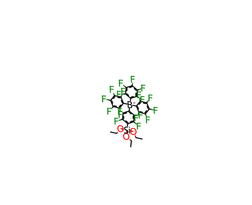 CCO[Si](OCC)(OCC)c1c(F)c(F)c([B-](c2c(F)c(F)c(F)c(F)c2F)(c2c(F)c(F)c(F)c(F)c2F)c2c(F)c(F)c(F)c(F)c2F)c(F)c1F